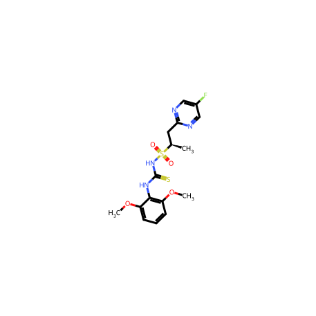 COc1cccc(OC)c1NC(=S)NS(=O)(=O)[C@H](C)Cc1ncc(F)cn1